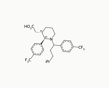 CC(C)CCC(c1ccc(C(F)(F)F)cc1)N1CCC[C@@H](CC(=O)O)[C@@H]1c1ccc(C(F)(F)F)cc1